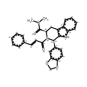 CN(C)C(=O)[C@H]1Cc2c([nH]c3ccccc23)[C@@H](c2ccc3c(c2)OCO3)N1C(=O)C=Cc1ccccc1